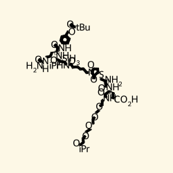 CC(C)C(=O)CCOCCOCCOCCOCCNC(=O)[C@H](CCC(=O)O)NC(=O)[C@@H](N)CSC1CC(=O)N(CCCCCC(=O)NC([SiH3])[C@H](C(=O)N[C@@H](CCCNC(N)=O)C(=O)Nc2ccc(COC(=O)C(C)(C)C)cc2)C(C)C)C1=O